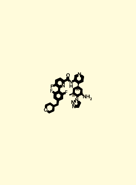 C[C@H]1C[C@@H](c2ccncc2NC(=O)c2ccc(F)c(-c3c(F)cc(CC4CCOCC4)cc3F)n2)C[C@@H](N)[C@H]1n1ccnn1